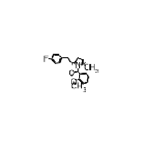 COc1ccccc1C(=O)N1[C@@H](CCc2ccc(F)cc2)CC[C@H]1C